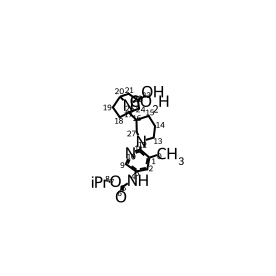 Cc1cc(NC(=O)OC(C)C)cnc1N1CCCC(C23CCC(CC(O)C2)N3C(=O)O)C1